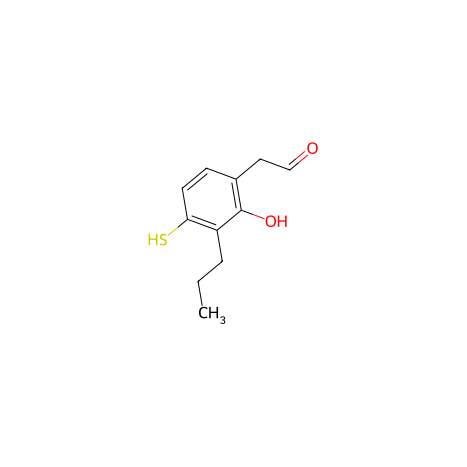 CCCc1c(S)ccc(CC=O)c1O